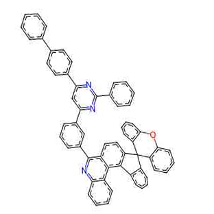 c1ccc(-c2ccc(-c3cc(-c4cccc(-c5nc6ccccc6c6c7c(ccc56)C5(c6ccccc6Oc6ccccc65)c5ccccc5-7)c4)nc(-c4ccccc4)n3)cc2)cc1